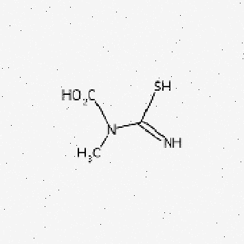 CN(C(=N)S)C(=O)O